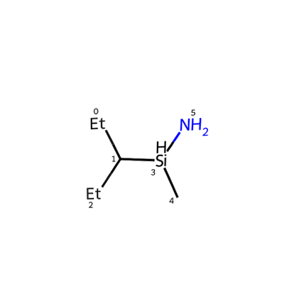 CCC(CC)[SiH](C)N